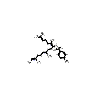 C/C=C(\C)CC/C=C(\C)CC/C(OS(=O)(=O)c1ccc(C)cc1)=C(/C)CCC=C(C)C